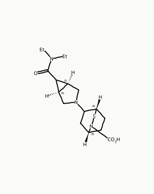 CCN(CC)C(=O)C1[C@H]2CN(C3C[C@H]4CC[C@@H]3CN4C(=O)O)C[C@@H]12